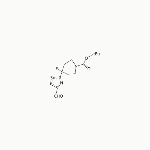 CC(C)(C)OC(=O)N1CCC(F)(c2nc(C=O)cs2)CC1